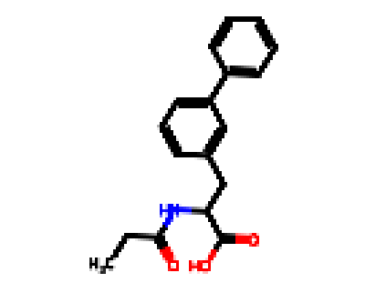 CCC(=O)NC(Cc1cccc(-c2ccccc2)c1)C(=O)O